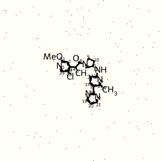 COc1cc(C(C)C(=O)N2CC[C@H](Nc3ccc(-c4ncccn4)c(C)n3)C2)c(Cl)cn1